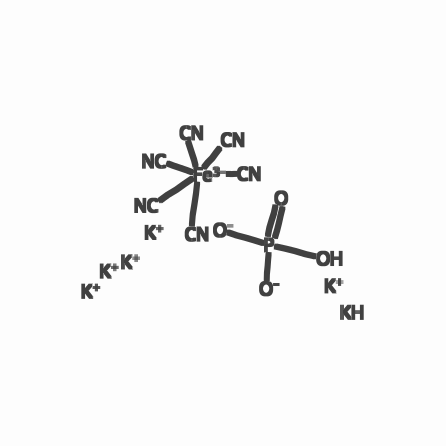 N#[C][Fe-3]([C]#N)([C]#N)([C]#N)([C]#N)[C]#N.O=P([O-])([O-])O.[K+].[K+].[K+].[K+].[K+].[KH]